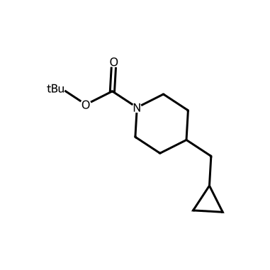 CC(C)(C)OC(=O)N1CCC(CC2CC2)CC1